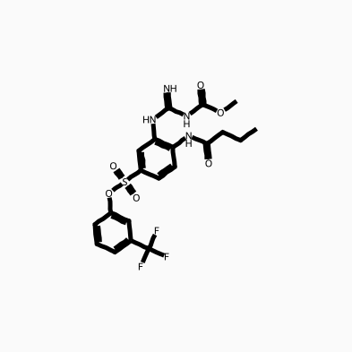 CCCC(=O)Nc1ccc(S(=O)(=O)Oc2cccc(C(F)(F)F)c2)cc1NC(=N)NC(=O)OC